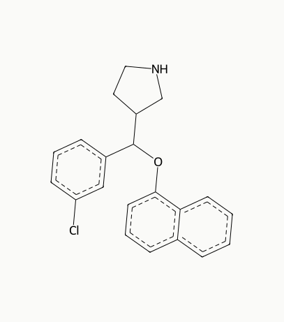 Clc1cccc(C(Oc2cccc3ccccc23)C2CCNC2)c1